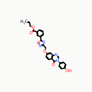 C=CCOC(=O)c1cccc(-c2nc(COc3ccc4c(=O)n(-c5ccc(O)cc5)cnc4c3)no2)c1